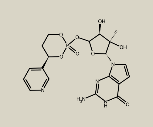 C[C@@]1(O)[C@H](O)C(OP2(=O)OCC[C@H](c3cccnc3)O2)O[C@H]1n1ccc2c(=O)[nH]c(N)nc21